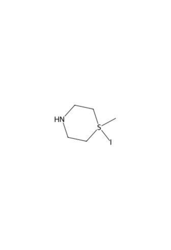 CS1(I)CCNCC1